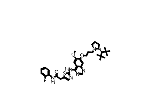 COc1cc2c(Nc3ncc(CC(=O)Nc4ccccc4F)s3)ncnc2cc1OCCCN1CCC[C@H]1[C](C(C)(C)C)C(C)(C)C